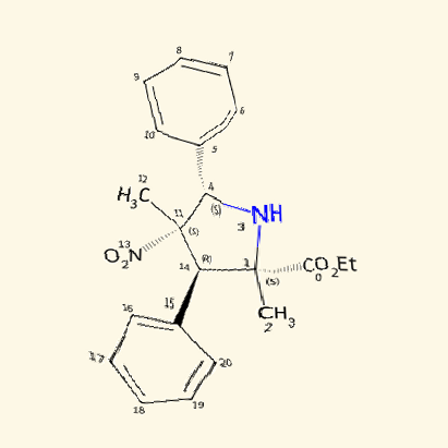 CCOC(=O)[C@@]1(C)N[C@@H](c2ccccc2)[C@@](C)([N+](=O)[O-])[C@@H]1c1ccccc1